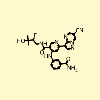 CC(C)(O)C(F)CNC(=O)c1cnc(-c2cnn3cc(C#N)cnc23)cc1Nc1cccc(C(N)=O)c1